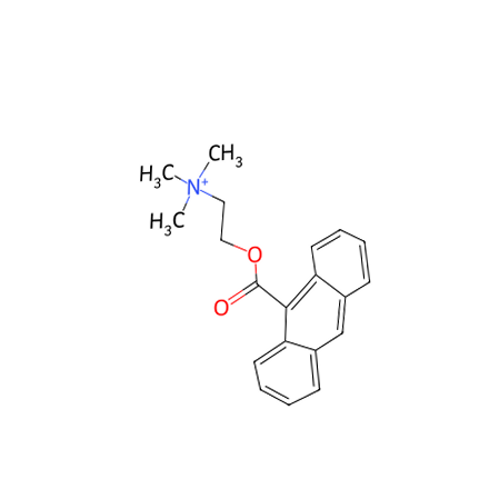 C[N+](C)(C)CCOC(=O)c1c2ccccc2cc2ccccc12